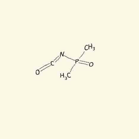 CP(C)(=O)N=C=O